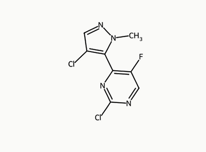 Cn1ncc(Cl)c1-c1nc(Cl)ncc1F